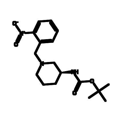 CC(C)(C)OC(=O)N[C@H]1CCCN(Cc2ccccc2[N+](=O)[O-])C1